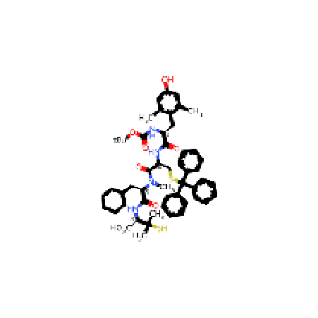 Cc1cc(O)cc(C)c1C[C@H](NC(=O)OC(C)(C)C)C(=O)N[C@@H](CSC(c1ccccc1)(c1ccccc1)c1ccccc1)C(=O)N(C)[C@H](CC1CCCCC1)C(=O)N[C@@H](C(=O)O)C(C)(C)S